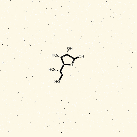 OC[C@H](O)[C@@H]1OC(O)[C@@H](O)[C@H]1O